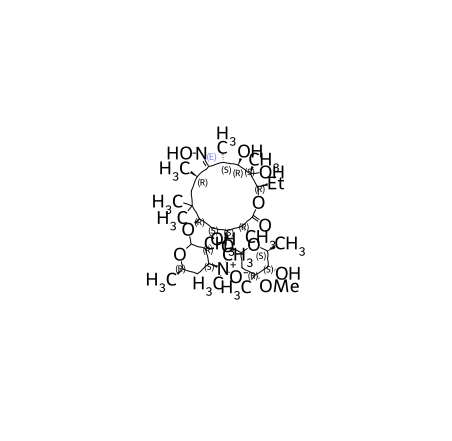 CC[C@H]1OC(=O)[C@H](C)[C@@H](OC2C[C@@](C)(OC)[C@@H](O)[C@H](C)O2)[C@H](C)[C@@H](OC2O[C@H](C)C[C@H]([N+](C)(C)[O-])[C@H]2O)C(C)(C)C[C@@H](C)/C(=N\O)[C@H](C)[C@@H](O)[C@]1(C)O